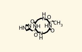 CC[C@@H]1NC(=O)CCNC(=O)[C@H](Cc2c[nH]cn2)NC(=O)CCNC1=O